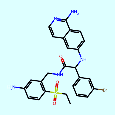 CCS(=O)(=O)c1ccc(N)cc1CNC(=O)C(Nc1ccc2c(N)nccc2c1)c1cccc(Br)c1